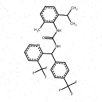 Cc1cccc(C(C)C)c1NC(=O)NC(c1ccc(C(F)(F)F)cc1)c1ncccc1C(F)(F)F